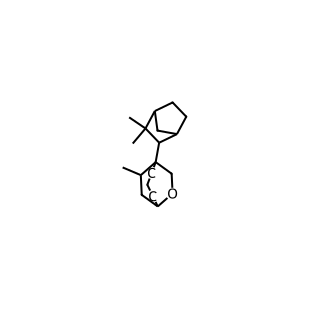 CC1CC2CCCC1(C1C3CCC(C3)C1(C)C)CO2